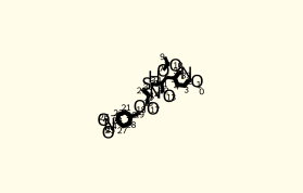 COc1ccc(C(OC(C)=O)C2C(=O)N3C(C(=O)OCc4ccc([N+](=O)[O-])cc4)=CS[C@H]23)cn1